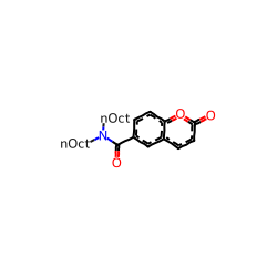 CCCCCCCCN(CCCCCCCC)C(=O)c1ccc2oc(=O)ccc2c1